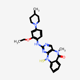 CCOc1cc(N2CCC(C)CC2)ccc1Nc1ncc2c(n1)N(S)c1ccccc1C(=O)N2C